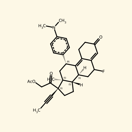 CC#C[C@]1(C(=O)COC(C)=O)CC[C@H]2[C@@H]3CC(F)C4=CC(=O)CCC4=C3[C@@H](c3ccc(N(C)C)cc3)C[C@@]21C